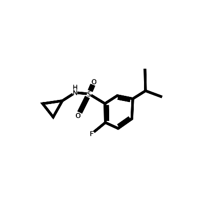 CC(C)c1ccc(F)c(S(=O)(=O)NC2CC2)c1